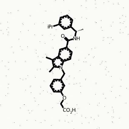 Cc1c(C)n(Cc2cccc(OCC(=O)O)c2)c2ccc(C(=O)N[C@@H](C)c3cccc(C(C)C)c3)cc12